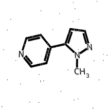 Cn1nccc1-c1ccncc1